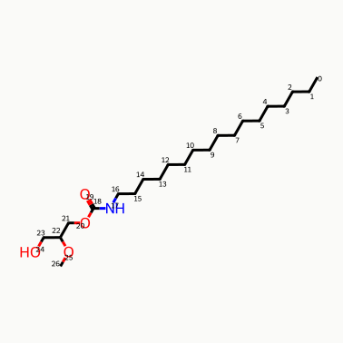 CCCCCCCCCCCCCCCCCNC(=O)OCC(CO)OC